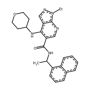 CCn1ncc2c(NC3CCOCC3)c(C(=O)NC(C)c3cccc4ccccc34)cnc21